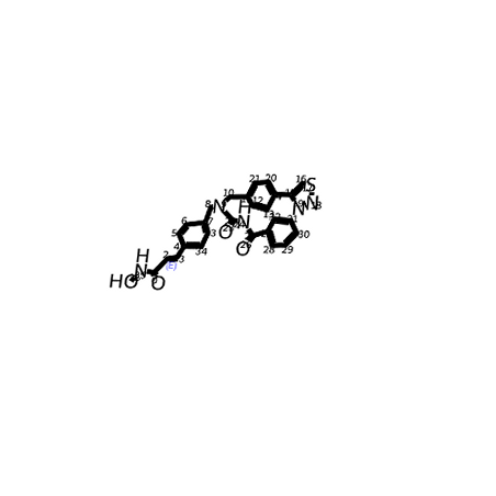 O=C(/C=C/c1ccc(CN(Cc2ccc(-c3csnn3)cc2)C(=O)NC(=O)c2ccccc2)cc1)NO